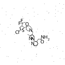 Cc1nn(-c2ncccc2CC(N)=O)cc1CN1CCC2(CC1)OCC(F)(F)C1C=C(Cl)SC12